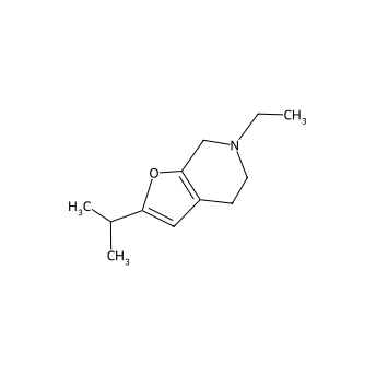 CCN1CCc2cc(C(C)C)oc2C1